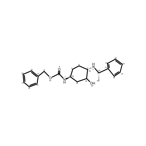 C[C@H](N[C@H]1CC[C@H](NC(=O)OCc2ccccc2)CC1O)c1ccccc1